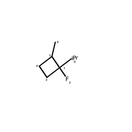 CC(C)C1(F)CCC1C